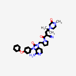 CN1CCN(C(C)(C)C=C(C#N)C(=O)N2CCCC2Cn2c(=O)n(-c3ccc(Oc4ccccc4)cc3)c3c(N)nccc32)CC1=O